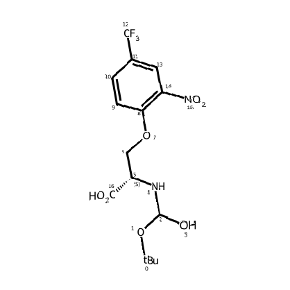 CC(C)(C)OC(O)N[C@@H](COc1ccc(C(F)(F)F)cc1[N+](=O)[O-])C(=O)O